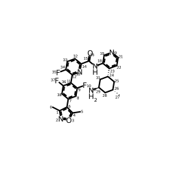 Cc1noc(C)c1-c1cc(F)c(-c2nc(C(=O)Nc3cnccc3[C@@H]3C[C@H](C)C[C@@H](N)C3)ccc2F)c(F)c1